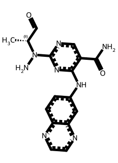 C[C@H](C=O)N(N)c1ncc(C(N)=O)c(Nc2ccc3nccnc3c2)n1